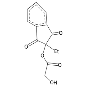 CCC1(OC(=O)CO)C(=O)c2ccccc2C1=O